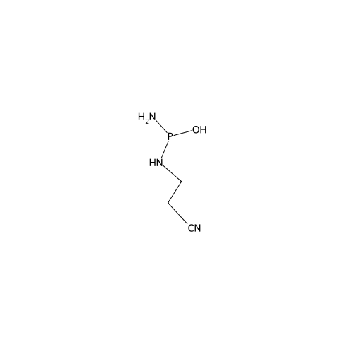 N#CCCNP(N)O